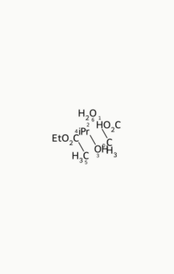 CC(=O)O.CC(C)O.CCOC(C)=O.O